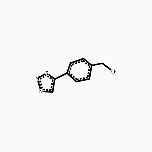 [O]Cc1ccc(-c2cnns2)cc1